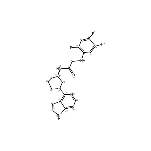 O=C(CNc1cc(F)c(F)cc1F)N[C@@H]1CCCN(c2ncnc3[nH]ccc23)C1